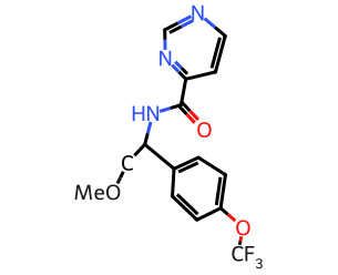 COCC(NC(=O)c1ccncn1)c1ccc(OC(F)(F)F)cc1